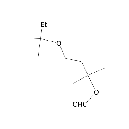 CCC(C)(C)OCCC(C)(C)OC=O